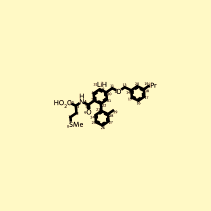 CSCCC(NC(=O)c1ccc(COCc2cccc(C(C)C)c2)cc1-c1ccccc1C)C(=O)O.[LiH]